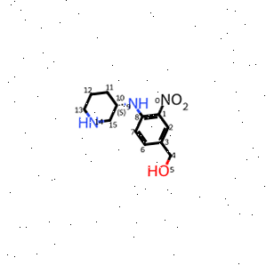 O=[N+]([O-])c1cc(CO)ccc1N[C@H]1CCCNC1